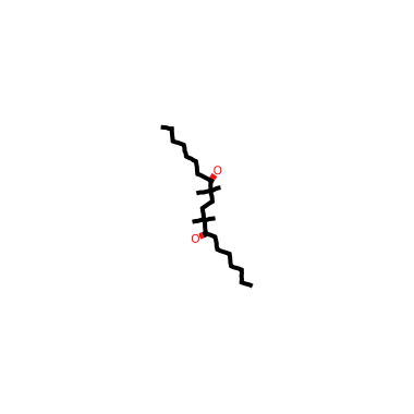 CCCCCCCC(=O)C(C)(C)CCC(C)(C)C(=O)CCCCCCC